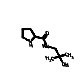 CC(C)(O)CNC(=O)C1CCCN1